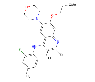 CCc1nc2cc(OCCOC)c(N3CCOCC3)cc2c(Nc2ccc(C)cc2F)c1C(=O)O